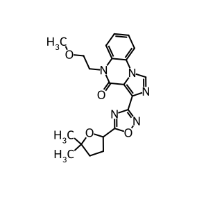 COCCn1c(=O)c2c(-c3noc(C4CCC(C)(C)O4)n3)ncn2c2ccccc21